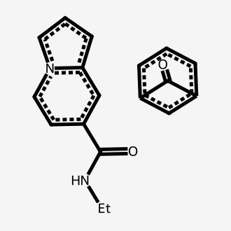 CCNC(=O)c1ccn2cccc2c1.O=C1c2cccc1c2